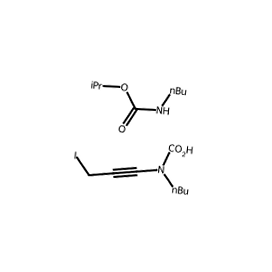 CCCCN(C#CCI)C(=O)O.CCCCNC(=O)OC(C)C